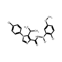 COc1ccc(Cl)c([S+]([O-])NC(=O)c2ncn(-c3ccc(Cl)cc3)c2C(C)C)c1